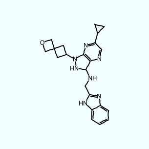 c1ccc2[nH]c(CNC3NN(C4CC5(COC5)C4)c4nc(C5CC5)cnc43)nc2c1